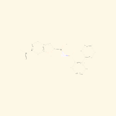 C=C(C)c1ccc2cc(C(=O)N[S+]([O-])c3ccccc3-c3ccccc3)oc2c1